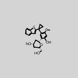 COc1cc(O)c([C@H]2C[C@@H](O)C[C@@H](CO)O2)cc1C1(c2cc3ccccc3s2)CC1